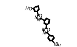 CC(C)(C)c1ccc(-c2nnc(-c3cccc(-c4nnc(-c5cccc(O)c5)o4)c3)o2)cc1